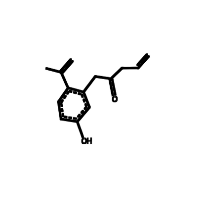 C=CCC(=O)Cc1cc(O)ccc1C(=C)C